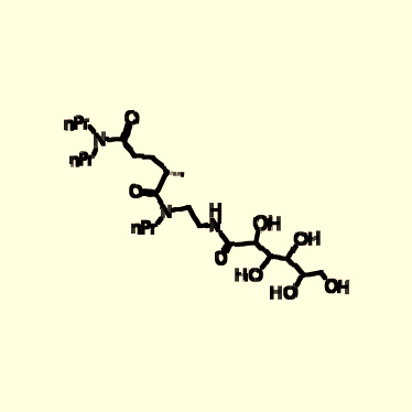 CCCN(CCC)C(=O)CC[C@H](C)C(=O)N(CCC)CCNC(=O)C(O)C(O)C(O)C(O)CO